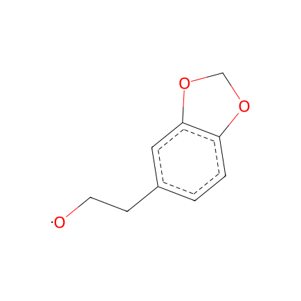 [O]CCc1ccc2c(c1)OCO2